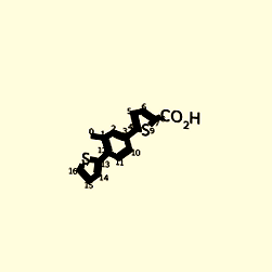 Cc1cc(-c2ccc(C(=O)O)s2)ccc1-c1cccs1